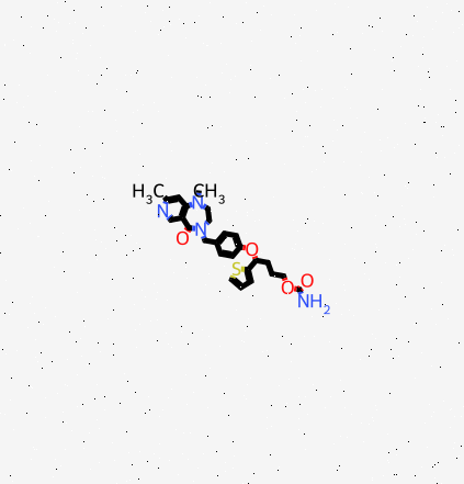 Cc1cc2c(cn1)C(=O)N(Cc1ccc(OC(CCCOC(N)=O)c3cccs3)cc1)CCN2C